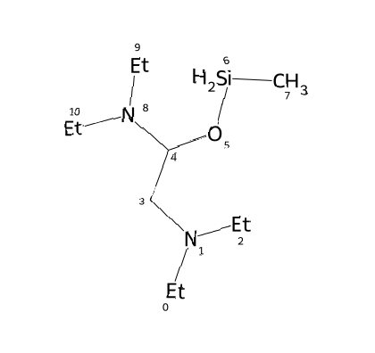 CCN(CC)CC(O[SiH2]C)N(CC)CC